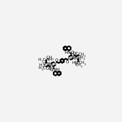 CN[C@@H](C)C(=O)N[C@H](C(=O)N1CCN(C(=O)Cc2ccc(CC(=O)N3CCN(C(=O)[C@@H](NC(=O)[C@H](C)NC)C(C)(C)C)[C@H](C(=O)N[C@@H]4CCCc5ccccc54)C3)cc2)C[C@H]1C(=O)N[C@@H]1CCCc2ccccc21)C(C)(C)C